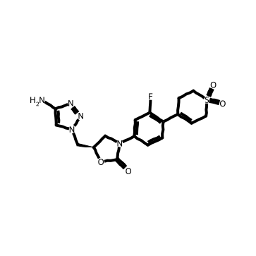 Nc1cn(C[C@H]2CN(c3ccc(C4=CCS(=O)(=O)CC4)c(F)c3)C(=O)O2)nn1